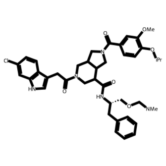 CNCOC[C@H](Cc1ccccc1)NC(=O)C1CN(C(=O)Cc2c[nH]c3cc(Cl)ccc23)CC2CN(C(=O)c3ccc(OC(C)C)c(OC)c3)CC21